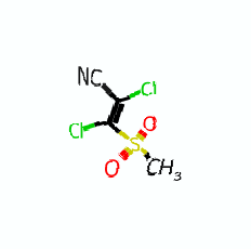 CS(=O)(=O)C(Cl)=C(Cl)C#N